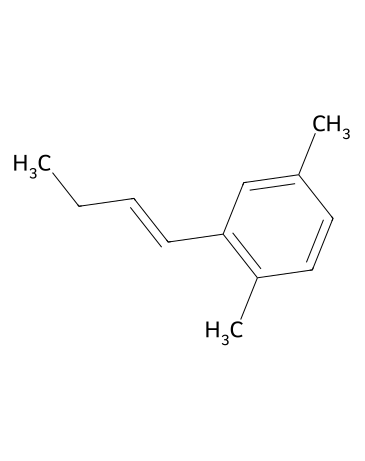 CCC=Cc1cc(C)ccc1C